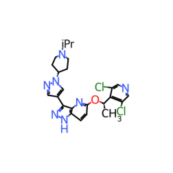 CC(C)N1CCC(n2cc(-c3n[nH]c4ccc(O[C@H](C)c5c(Cl)cncc5Cl)nc34)cn2)CC1